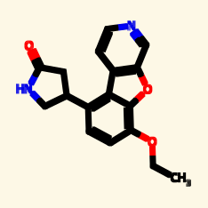 CCOc1ccc(C2CNC(=O)C2)c2c1oc1cnccc12